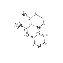 NC(=O)C1C(O)CCCN1c1[c]cncc1